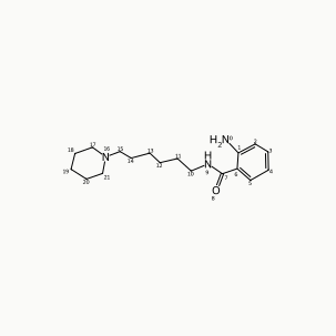 Nc1ccccc1C(=O)NCCCCCCN1CCCCC1